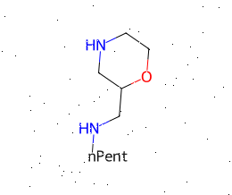 CCCCCNCC1CNCCO1